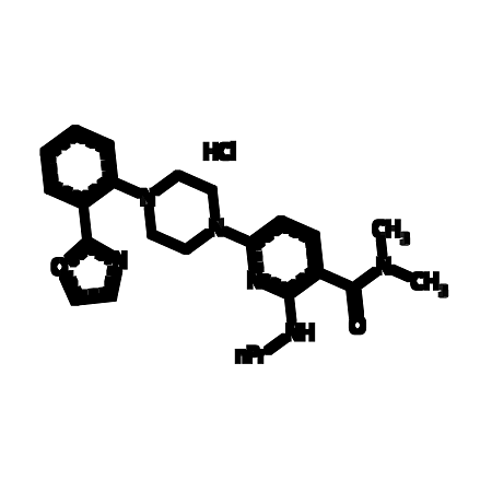 CCCNc1nc(N2CCN(c3ccccc3-c3ncco3)CC2)ccc1C(=O)N(C)C.Cl